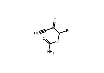 C#CC(=O)C(CC)OC(N)=O